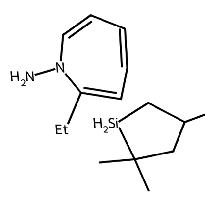 CC1C[SiH2]C(C)(C)C1.CCC1=CC=CC=CN1N